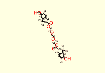 Cc1cc(CCC(=O)OCCOCCOCCOC(=O)CCc2cc(C)c(O)cc2C(C)(C)C)c(C(C)(C)C)cc1O